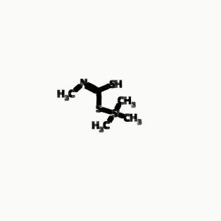 CN=C(S)S[Si](C)(C)C